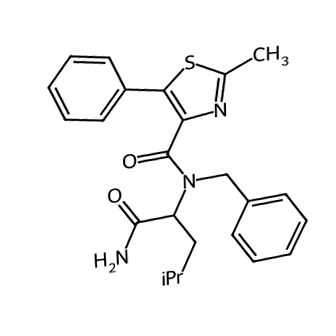 Cc1nc(C(=O)N(Cc2ccccc2)C(CC(C)C)C(N)=O)c(-c2ccccc2)s1